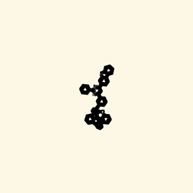 C1=CC2c3ccccc3C3(c4ccccc4Oc4c(-c5cccc(-c6cc(-c7ccc8c(c7)sc7ccccc78)nc(-c7ccccc7)n6)c5)cccc43)C2C=C1